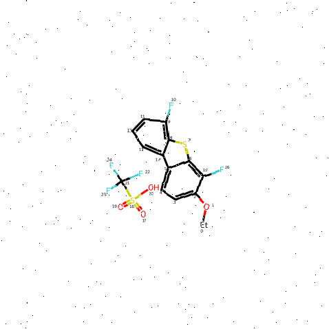 CCOc1ccc2c(sc3c(F)cccc32)c1F.O=S(=O)(O)C(F)(F)F